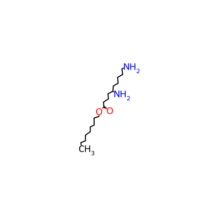 CCCCCCCCCOC(=O)CCCC(N)CCCCCN